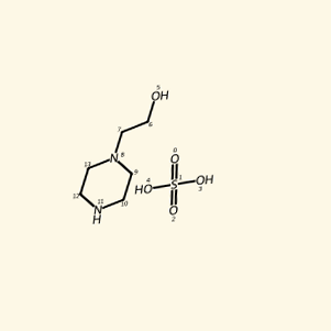 O=S(=O)(O)O.OCCN1CCNCC1